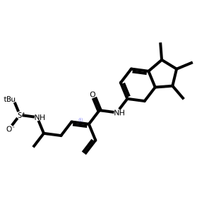 C=C/C(=C\CC(C)N[S+]([O-])C(C)(C)C)C(=O)NC1=CC=C2C(C)C(C)C(C)C2C1